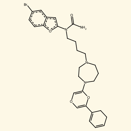 NC(=O)N(CCCCN1CCCN(C2=COC=C(C3=CC=CCC3)O2)CC1)c1cc2cc(Br)ccc2o1